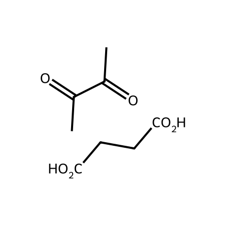 CC(=O)C(C)=O.O=C(O)CCC(=O)O